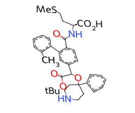 CSCC[C@H](NC(=O)c1ccc(C(OC2(c3ccccc3)CCNCC2)C(=O)OC(C)(C)C)cc1-c1ccccc1C)C(=O)O